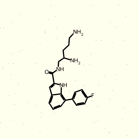 NCCCC(N)CNC(=O)c1cc2cccc(-c3ccc(F)cc3)c2[nH]1